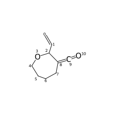 C=CC1OCCCCC1=C=O